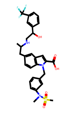 CC(Cc1ccc2c(c1)cc(C(=O)O)n2Cc1cccc(N(C)S(C)(=O)=O)c1)NCC(O)c1cccc(C(F)(F)F)c1